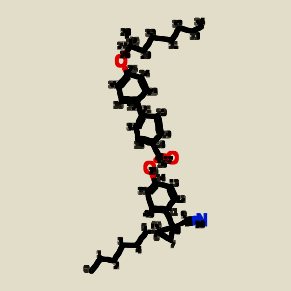 CCCCCC[C@H]1C[C@@]1(C#N)c1ccc(OC(=O)c2ccc(-c3ccc(O[C@H](C)CCCCCC)cc3)cc2)cc1